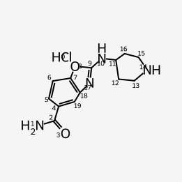 Cl.NC(=O)c1ccc2oc(NC3CCNCC3)nc2c1